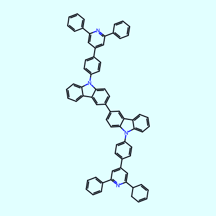 C1=CCC(c2cc(-c3ccc(-n4c5ccccc5c5cc(-c6ccc7c(c6)c6ccccc6n7-c6ccc(-c7cc(-c8ccccc8)nc(-c8ccccc8)c7)cc6)ccc54)cc3)cc(-c3ccccc3)n2)C=C1